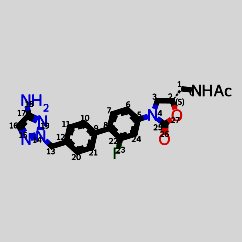 CC(=O)NC[C@H]1CN(c2ccc(-c3ccc(Cn4ncc(N)n4)cc3)c(F)c2)C(=O)O1